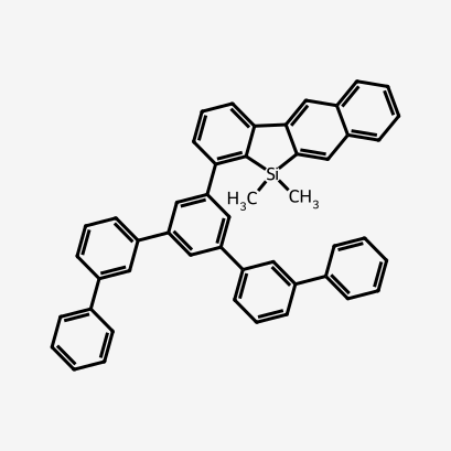 C[Si]1(C)c2cc3ccccc3cc2-c2cccc(-c3cc(-c4cccc(-c5ccccc5)c4)cc(-c4cccc(-c5ccccc5)c4)c3)c21